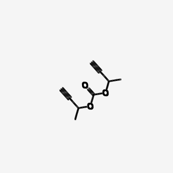 C#CC(C)OC(=O)OC(C)C#C